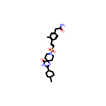 Cc1cc(CC(N)=O)ccc1/C=C/S(=O)(=O)N1CCC2(CC1)N=C(C1CCC(C)CC1)NC2=O